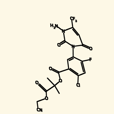 CC(C)(OC(=O)c1cc(-n2c(=O)cc(C(F)(F)F)n(N)c2=O)c(F)cc1Cl)C(=O)OCC#N